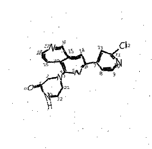 O=C1CN(c2nc(-c3ccnc(Cl)c3)cc3cnccc23)CCN1